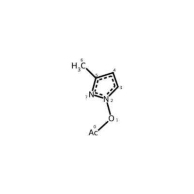 CC(=O)On1ccc(C)n1